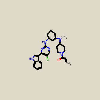 C=CC(=O)N1CCC(N(C)[C@@H]2CCC[C@H](Nc3ncc(Cl)c(-c4c[nH]c5ccccc45)n3)C2)CC1